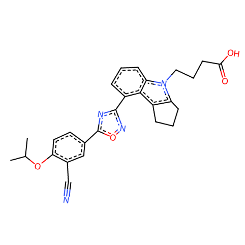 CC(C)Oc1ccc(-c2nc(-c3cccc4c3c3c(n4CCCC(=O)O)CCC3)no2)cc1C#N